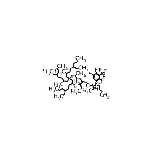 CCCC(CC)CCC(C)C[B-](CC(C)CCC(CC)CCC)(CC(C)CCC(CC)CCC)CC(C)CCC(CC)CCC.CCCC[NH+](CCC)c1cc(F)c(F)c(C(F)(F)F)c1F